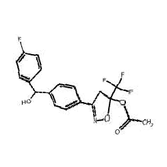 CC(=O)OC1(C(F)(F)F)CC(c2ccc(C(O)c3ccc(F)cc3)cc2)=NO1